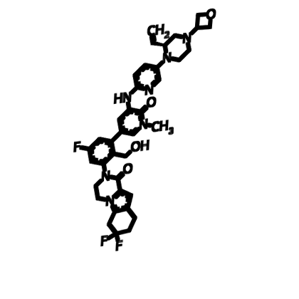 C=C[C@H]1CN(C2COC2)CCN1c1ccc(Nc2cc(-c3cc(F)cc(N4CCn5c(cc6c5CC(F)(F)CC6)C4=O)c3CO)cn(C)c2=O)nc1